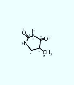 CC1C[N]C(=O)NC1=O